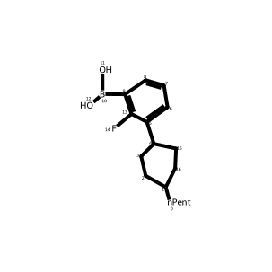 CCCCCC1CCC(c2cccc(B(O)O)c2F)CC1